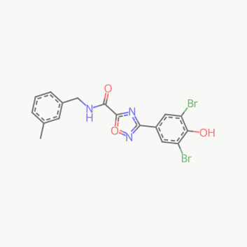 Cc1cccc(CNC(=O)c2nc(-c3cc(Br)c(O)c(Br)c3)no2)c1